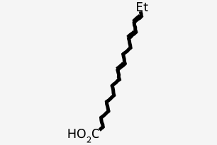 CCC=CC=CCCC=CCCCCCCCC(=O)O